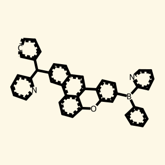 c1ccc(B(c2ccc3c(c2)Oc2cccc4c2c-3cc2ccc(C(c3ccccc3)c3ccccn3)cc24)c2ccccn2)cc1